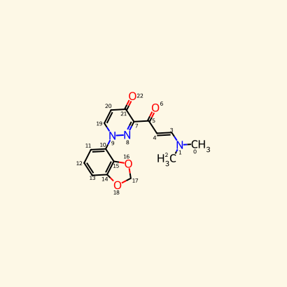 CN(C)/C=C/C(=O)c1nn(-c2cccc3c2OCO3)ccc1=O